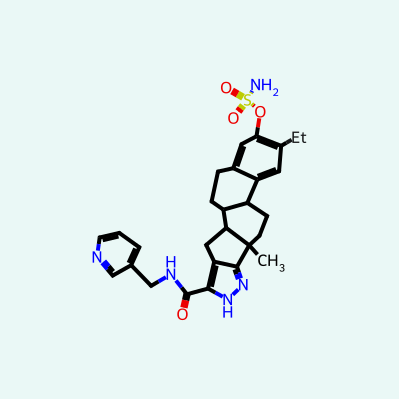 CCc1cc2c(cc1OS(N)(=O)=O)CCC1C2CCC2(C)c3n[nH]c(C(=O)NCc4cccnc4)c3CC12